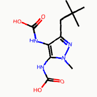 Cn1nc(CC(C)(C)C)c(NC(=O)O)c1NC(=O)O